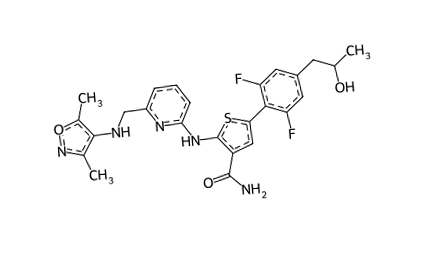 Cc1noc(C)c1NCc1cccc(Nc2sc(-c3c(F)cc(CC(C)O)cc3F)cc2C(N)=O)n1